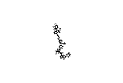 Cn1c(=O)n(C2CCC(=O)NC2=O)c2cccc(C#CCOC3CCN(C(C#N)[C@H]4CC[C@H](n5cc(NC(=O)c6cnn7ccc(N8CCOCC8)nc67)c(C(F)F)n5)CC4)CC3)c21